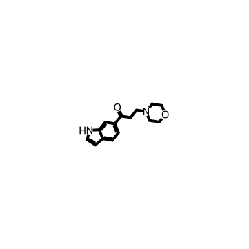 O=C(CCN1CCOCC1)c1ccc2cc[nH]c2c1